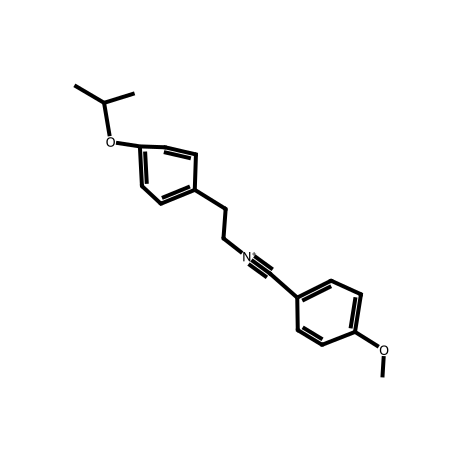 COc1ccc(C#[N+]CCc2ccc(OC(C)C)cc2)cc1